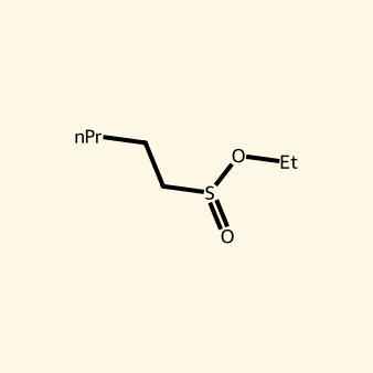 CCCCCS(=O)OCC